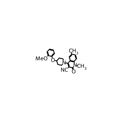 COc1ccccc1OC1CCN(c2c(C#N)c(=O)n(C)c3ccc(C)cc23)CC1